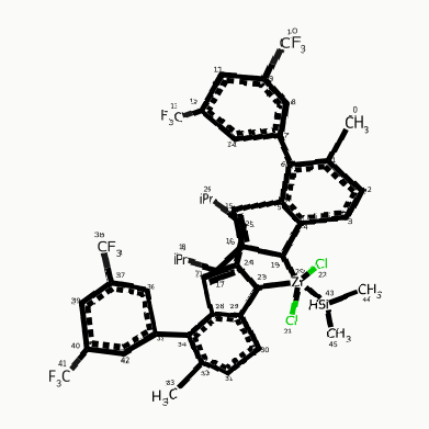 Cc1ccc2c(c1-c1cc(C(F)(F)F)cc(C(F)(F)F)c1)C=C(CC(C)C)[CH]2[Zr]([Cl])([Cl])([CH]1C(CC(C)C)=Cc2c1ccc(C)c2-c1cc(C(F)(F)F)cc(C(F)(F)F)c1)[SiH](C)C